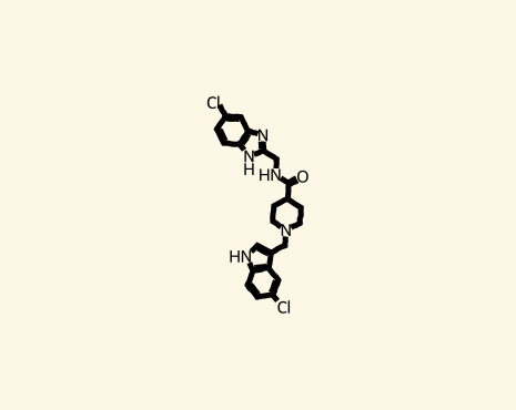 O=C(NCc1nc2cc(Cl)ccc2[nH]1)C1CCN(Cc2c[nH]c3ccc(Cl)cc23)CC1